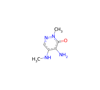 CNc1cnn(C)c(=O)c1N